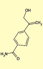 C=C(CO)c1ccc(C(N)=O)cc1